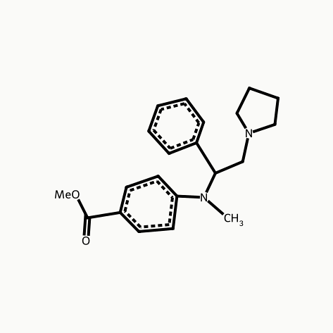 COC(=O)c1ccc(N(C)C(CN2CCCC2)c2ccccc2)cc1